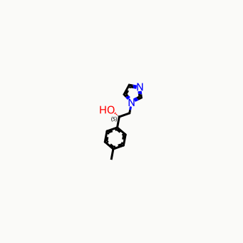 Cc1ccc([C@H](O)Cn2ccnc2)cc1